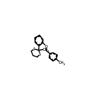 Cc1ccc(COc2ccccc2C2(C)SCCCS2)cc1